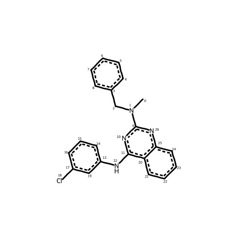 CN(Cc1ccccc1)c1nc(Nc2cccc(Cl)c2)c2ccccc2n1